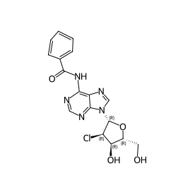 O=C(Nc1ncnc2c1ncn2[C@@H]1O[C@H](CO)[C@@H](O)[C@H]1Cl)c1ccccc1